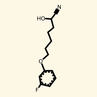 N#CC(O)CCCCCOc1cccc(F)c1